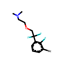 CC(=O)c1cccc(C(F)(F)COCCN(C)C)c1F